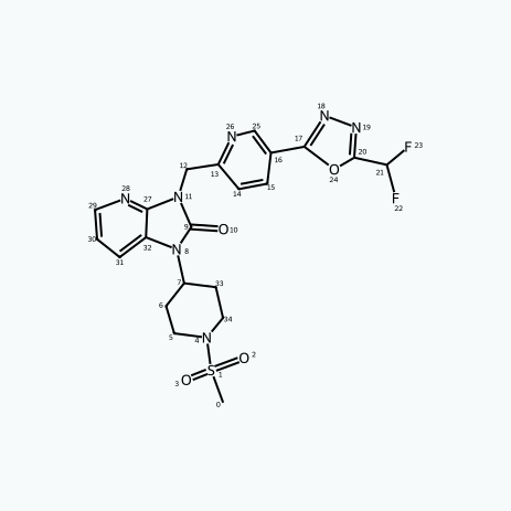 CS(=O)(=O)N1CCC(n2c(=O)n(Cc3ccc(-c4nnc(C(F)F)o4)cn3)c3ncccc32)CC1